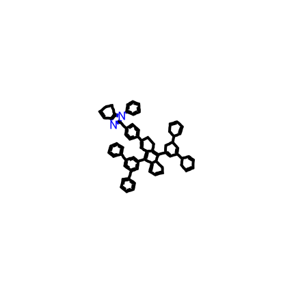 C1=CCC(C2=CC(C3C=CC=CC3)CC(C3=C4CCC(c5ccc(-c6nc7c(n6-c6ccccc6)CCC=C7)cc5)=CC4=C(c4cc(-c5ccccc5)cc(-c5ccccc5)c4)C4=CC=CCC43)=C2)C=C1